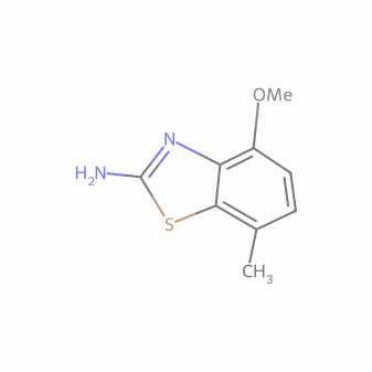 COc1ccc(C)c2sc(N)nc12